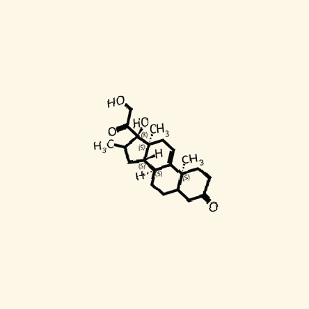 CC1C[C@H]2[C@@H]3CCC4CC(=O)CC[C@]4(C)C3=CC[C@]2(C)[C@@]1(O)C(=O)CO